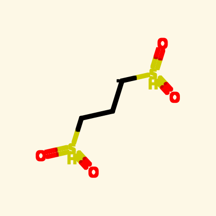 O=[SH](=O)[CH]CC[SH](=O)=O